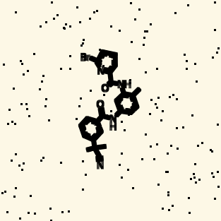 Cc1ccc(NC(=O)c2cccc(C(C)(C)C#N)c2)cc1NC(=O)c1cccc(Br)n1